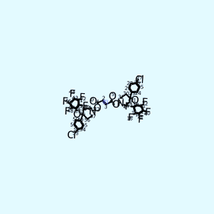 O=C(/C=C/C(=O)ON1CCC(Oc2c(F)c(F)c(F)c(F)c2F)(c2ccc(Cl)cc2)CC1)ON1CCC(Oc2c(F)c(F)c(F)c(F)c2F)(c2ccc(Cl)cc2)CC1